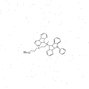 CC(C)(C)OCCCCCC[Si](C)(C1C2C=CC=CC2C2C=CC=CC21)C1C2C=CC=CC2C2C1c1ccccc1N2c1ccccc1